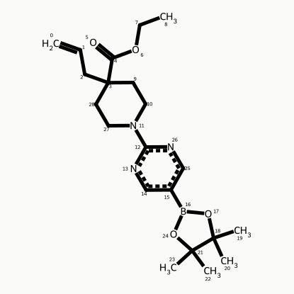 C=CCC1(C(=O)OCC)CCN(c2ncc(B3OC(C)(C)C(C)(C)O3)cn2)CC1